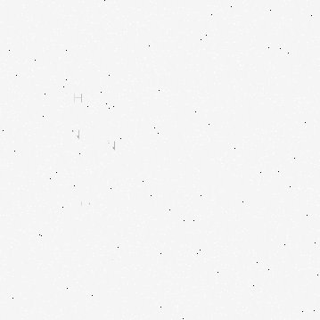 O=C1C(CC(F)(F)F)c2ccccc2-c2ccccc2[N+]1=NO